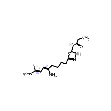 CN/C(N)=C/C=C(\N)CCCCC1=NNC(NC(=O)CN)S1